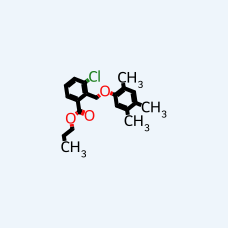 CCCOC(=O)c1cccc(Cl)c1COc1cc(C)c(C)cc1C